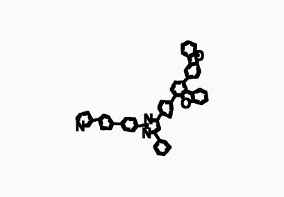 c1ccc(-c2cc(-c3ccc(-c4ccc(-c5ccc6oc7ccccc7c6c5)c5c4oc4ccccc45)cc3)nc(-c3ccc(-c4ccc(-c5cccnc5)cc4)cc3)n2)cc1